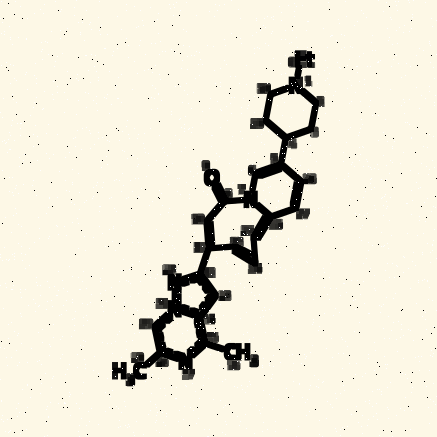 CCN1CCC(C2=CN3C(=O)\C=C(c4cc5c(C)nc(C)cn5n4)/C=C/C=C/3C=C2)CC1